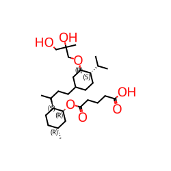 CC(C)[C@@H]1CCC(CCC(C)[C@@H]2CC[C@@H](C)C[C@H]2OC(=O)CCCC(=O)O)C[C@H]1OCC(C)(O)CO